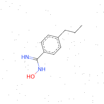 CCCc1ccc(C(=N)NO)cc1